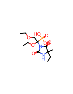 CCOCC(OCC)(N1C(=O)NC(C)(CC)C1=O)P(=O)(O)O